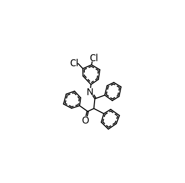 O=C(c1ccccc1)C(/C(=N/c1ccc(Cl)c(Cl)c1)c1ccccc1)c1ccccc1